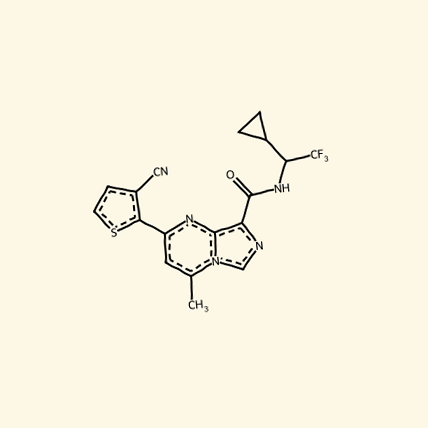 Cc1cc(-c2sccc2C#N)nc2c(C(=O)NC(C3CC3)C(F)(F)F)ncn12